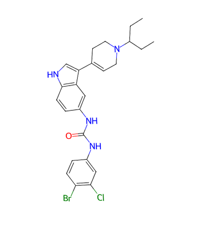 CCC(CC)N1CC=C(c2c[nH]c3ccc(NC(=O)Nc4ccc(Br)c(Cl)c4)cc23)CC1